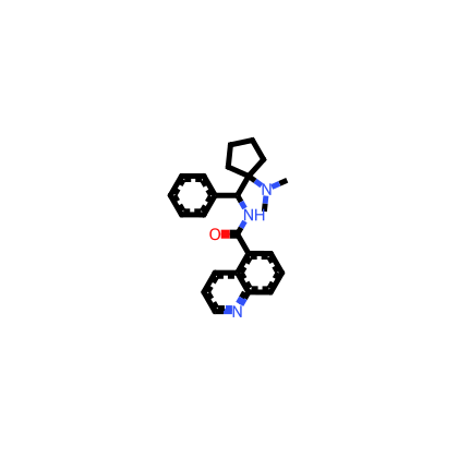 CN(C)C1(C(NC(=O)c2cccc3ncccc23)c2ccccc2)CCCC1